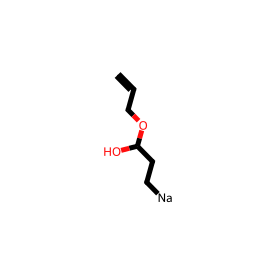 C=CCOC(O)C[CH2][Na]